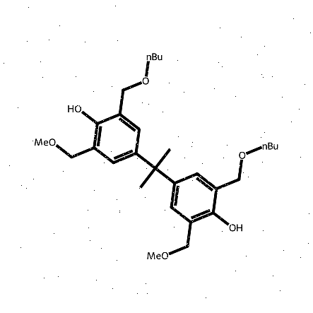 CCCCOCc1cc(C(C)(C)c2cc(COC)c(O)c(COCCCC)c2)cc(COC)c1O